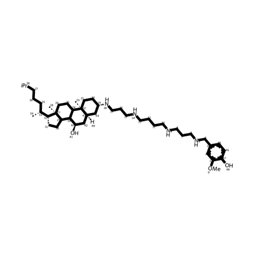 COc1cc(CNCCCNCCCCNCCCN[C@H]2CC[C@]3(C)C4CC[C@@]5(C)C(CC[C@@H]5[C@H](C)CCCC(C)C)C4[C@H](O)C[C@@H]3C2)ccc1O